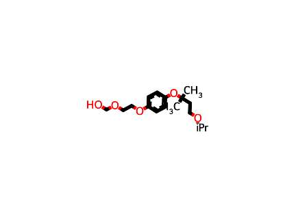 CC(C)OCCC(C)(C)Oc1ccc(OCCOCO)cc1